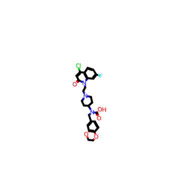 O=C(O)N(Cc1ccc2c(c1)OCCO2)C1CCN(CCn2c(=O)cc(Cl)c3ccc(F)cc32)CC1